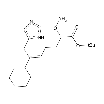 CC(C)(C)OC(=O)C(CCC=C(Cc1cnc[nH]1)C1CCCCC1)ON